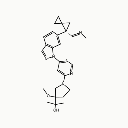 CN=C[C@@]1(c2ccc3cnn(-c4cc(N5CCC(OC)(C(C)(C)O)C5)ncn4)c3c2)CC12CC2